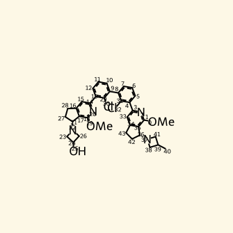 COc1nc(-c2cccc(-c3cccc(-c4cc5c(c(OC)n4)[C@@H](N4CC(O)C4)CC5)c3Cl)c2Cl)cc2c1[C@H](N1CC(C)C1)CC2